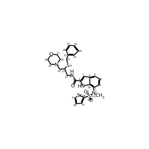 CN(c1cccc2cc(C(=O)NCC(CN3CCOCC3)SCc3ccccc3)[nH]c12)S(=O)(=O)c1cccs1